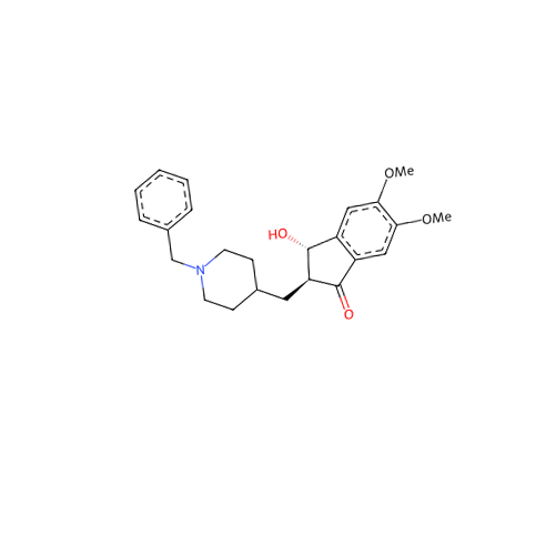 COc1cc2c(cc1OC)[C@@H](O)[C@H](CC1CCN(Cc3ccccc3)CC1)C2=O